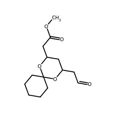 COC(=O)CC1CC(CC=O)OC2(CCCCC2)O1